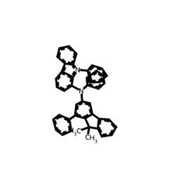 CC1(C)c2ccccc2-c2cc(N(c3ccccc3)c3cccc4c5ccccc5n(-c5ccccc5)c34)cc(-c3ccccc3)c21